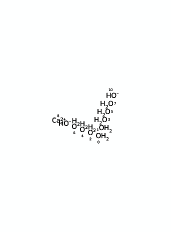 O.O.O.O.O.O.O.O.[Ca+2].[OH-].[OH-]